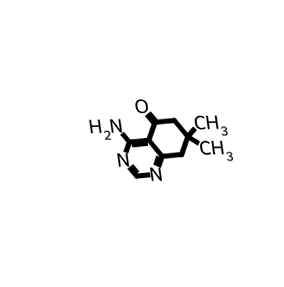 CC1(C)CC(=O)c2c(N)ncnc2C1